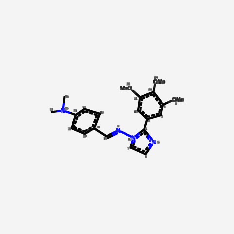 COc1cc(-c2nccn2N=Cc2ccc(N(C)C)cc2)cc(OC)c1OC